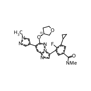 CNC(=O)c1cc(-c2cnc3cc(-c4cnn(C)c4)c(O[C@H]4CCOC4)nn23)c(F)c(C2CC2)c1